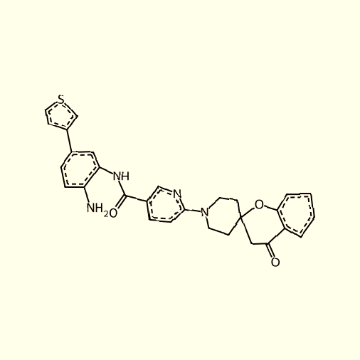 Nc1ccc(-c2ccsc2)cc1NC(=O)c1ccc(N2CCC3(CC2)CC(=O)c2ccccc2O3)nc1